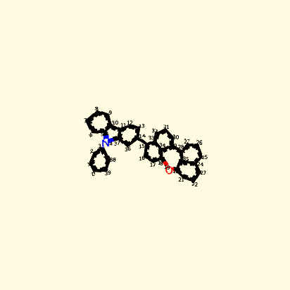 c1ccc(-n2c3ccccc3c3ccc(-c4ccc5oc6cccc7cccc(c8cccc4c58)c76)cc32)cc1